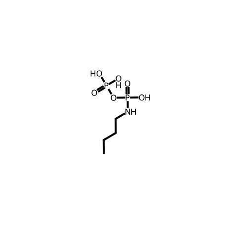 CCCCNP(=O)(O)OP(=O)(O)O